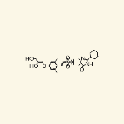 Cc1cc(OC[C@H](O)CO)cc(C)c1C=CS(=O)(=O)N1CCC2(CC1)N=C(C1CCCCC1)NC2=O